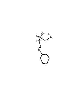 CCCCSP(=S)(NC=NC1CCCCC1)OC(C)C